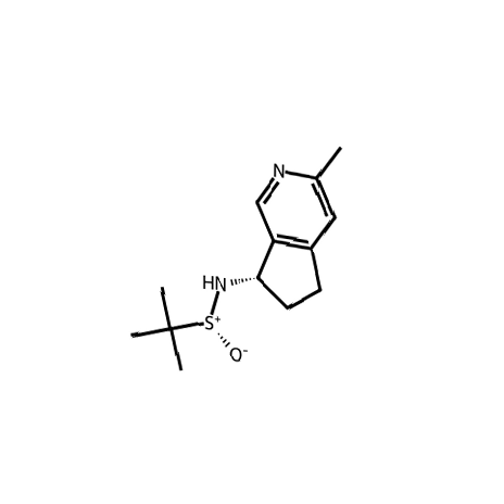 Cc1cc2c(cn1)[C@@H](N[S@+]([O-])C(C)(C)C)CC2